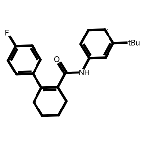 CC(C)(C)C1=CC(NC(=O)C2=C(c3ccc(F)cc3)CCCC2)=CC[CH]1